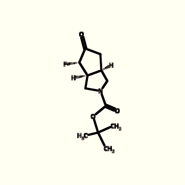 CC(C)(C)OC(=O)N1C[C@@H]2CC(=O)[C@@H](F)[C@@H]2C1